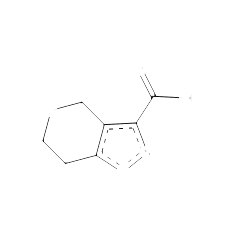 O=C(O)c1noc2c1COCC2